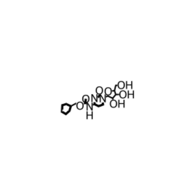 O=C(Nc1ccn(C2OC(CO)C(O)C2O)c(=O)n1)OCc1ccccc1